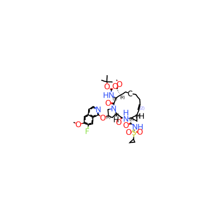 COC[C@@H]1CCCC/C=C\[C@@H]2C[C@@]2(C(=O)NS(=O)(=O)C2CC2)NC(=O)[C@@H]2C[C@@H](Oc3nccc4cc(OC)c(F)cc34)CN2C(=O)[C@H]1NC(=O)OC(C)(C)C